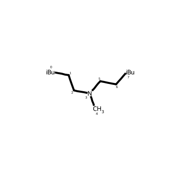 CCC(C)CCN(C)CCC(C)CC